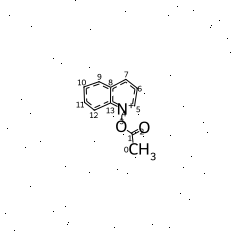 CC(=O)O[n+]1cccc2ccccc21